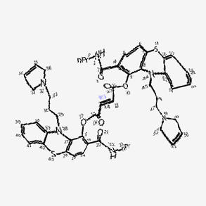 CCCNC(=O)c1ccc2c(c1OC(=O)/C=C/C(=O)Oc1c(C(=O)NCCC)ccc3c1N(CCCN1CC=CC1)c1ccccc1S3)N(CCCN1CC=CC1)c1ccccc1S2